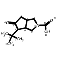 CC(C)(C)C1C(=O)CC2CN(C(=O)O)CC21